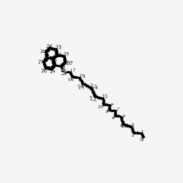 CCCCCCCCCCCCCCCCCCSC1=CCc2cccc3cccc1c23